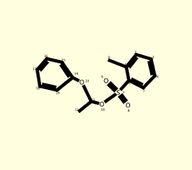 Cc1ccccc1S(=O)(=O)OC(C)Oc1ccccc1